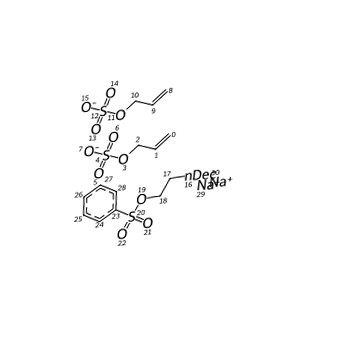 C=CCOS(=O)(=O)[O-].C=CCOS(=O)(=O)[O-].CCCCCCCCCCCCOS(=O)(=O)c1ccccc1.[Na+].[Na+]